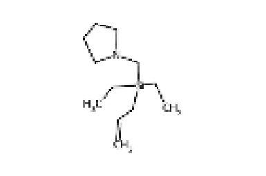 C=CC[Si](CC)(CC)CN1CCCC1